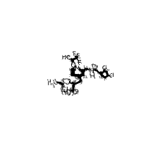 CC(C)OC(Cc1ccnc(CNC(=O)c2ccc(Cl)cc2Cl)c1)C(=O)O.O=C(O)C(F)(F)F